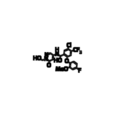 COc1cc(F)ccc1Oc1cc(C(F)(F)F)c(Cl)cc1C(O)Nc1cnn(CO)c(=O)c1